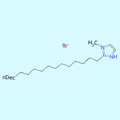 CCCCCCCCCCCCCCCCCCCCCCc1[nH]cc[n+]1C.[Br-]